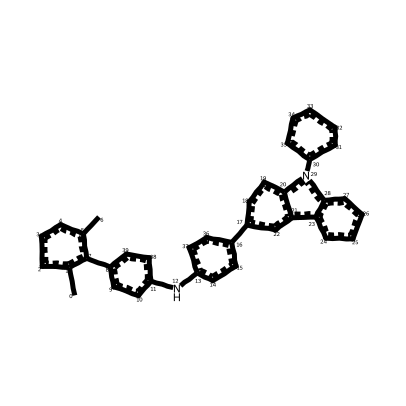 Cc1cccc(C)c1-c1ccc(Nc2ccc(-c3ccc4c(c3)c3ccccc3n4-c3ccccc3)cc2)cc1